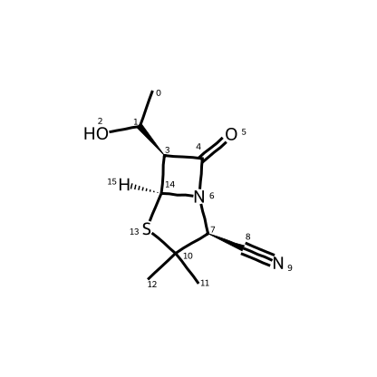 CC(O)[C@H]1C(=O)N2[C@@H](C#N)C(C)(C)S[C@@H]12